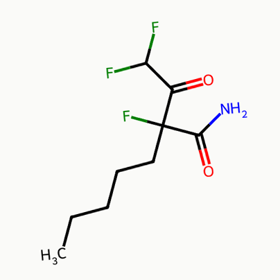 CCCCCC(F)(C(N)=O)C(=O)C(F)F